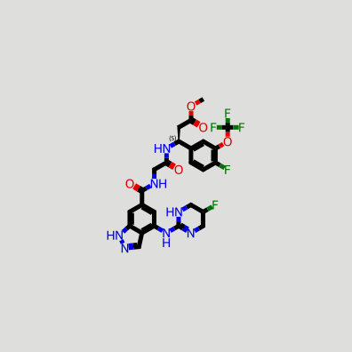 COC(=O)C[C@H](NC(=O)CNC(=O)c1cc(NC2=NCC(F)CN2)c2cn[nH]c2c1)c1ccc(F)c(OC(F)(F)F)c1